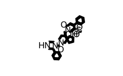 CS(=O)(=O)c1cn(CC2(O)CCN(C(=O)N3CCNCC3c3ccccc3)CC23CCCC3)c(=O)cc1-c1ccccc1